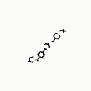 CCC(F)(CC)CN1CCC(COc2cnc(-c3ccc(C(=O)N4CC(O)CC4C(=O)O)c(F)c3)nc2)CC1